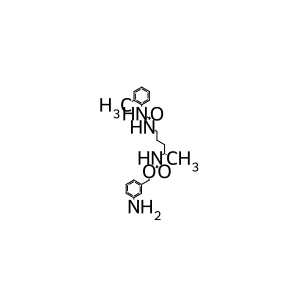 Cc1ccccc1NC(=O)NCCC[C@H](C)NC(=O)OCc1cccc(N)c1